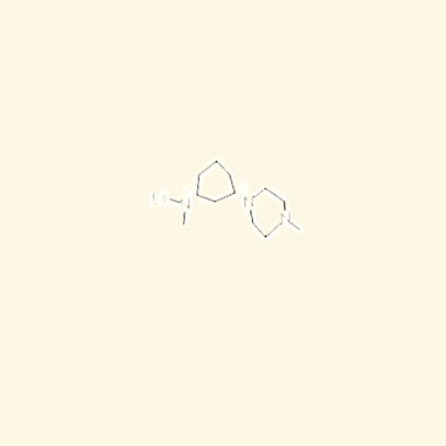 CCN(C)[C@@H]1CCC[C@H](N2CCN(C)CC2)C1